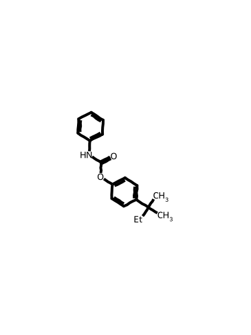 CCC(C)(C)c1ccc(OC(=O)Nc2ccccc2)cc1